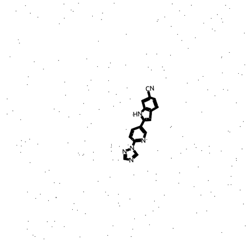 N#Cc1ccc2cc(-c3ccc(-n4cncn4)nc3)[nH]c2c1